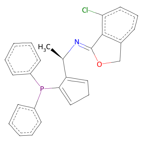 C[C@@H](/N=C1\OCc2cccc(Cl)c21)C1=CCC=C1P(c1ccccc1)c1ccccc1